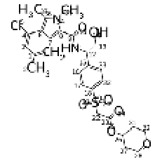 C=C(C)/C=C(/Cl)c1cc(C(=O)N[C@H](CO)c2ccc(S(=O)(=O)CC(=O)OC3CCOCC3)cc2)n(C)c1C